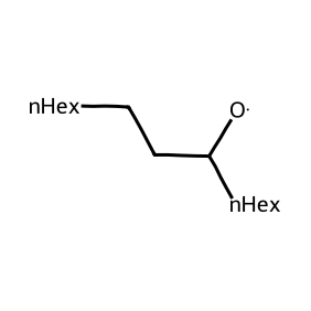 CCCCCCCCC([O])CCCCCC